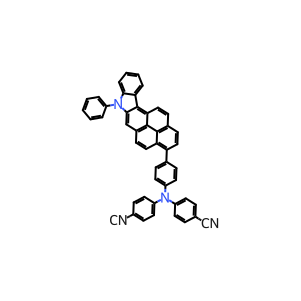 [C-]#[N+]c1ccc(N(c2ccc(C#N)cc2)c2ccc(-c3ccc4ccc5c6c(ccc3c46)cc3c5c4ccccc4n3-c3ccccc3)cc2)cc1